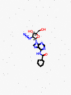 [N-]=[N+]=NC1[C@H](n2cnc3c(NC(=O)c4ccccc4)ncnc32)O[C@H](CO)[C@H]1O